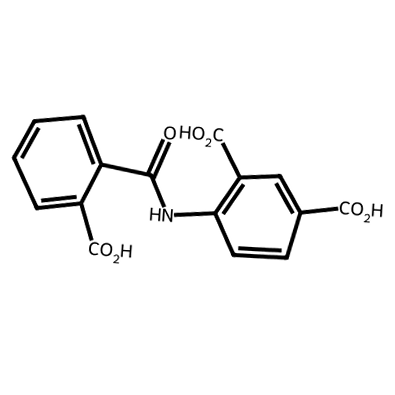 O=C(O)c1ccc(NC(=O)c2ccccc2C(=O)O)c(C(=O)O)c1